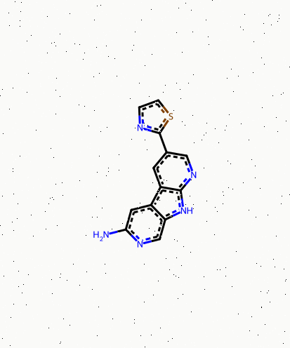 Nc1cc2c(cn1)[nH]c1ncc(-c3nccs3)cc12